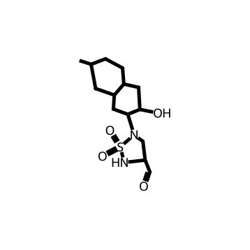 CC1CCC2CC(O)C(N3CC(C=O)NS3(=O)=O)CC2C1